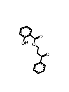 O=C(CCOC(=O)c1ccccc1O)c1ccccc1